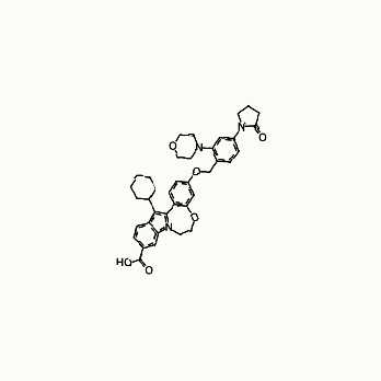 O=C(O)c1ccc2c(C3CCCCC3)c3n(c2c1)CCOc1cc(OCc2ccc(N4CCCC4=O)cc2N2CCOCC2)ccc1-3